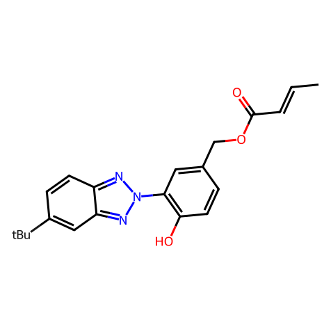 CC=CC(=O)OCc1ccc(O)c(-n2nc3ccc(C(C)(C)C)cc3n2)c1